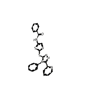 O=C(Nc1cnc(Sc2nnc(-c3ccccn3)n2-c2ccccc2)s1)c1ccccc1